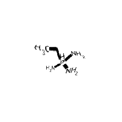 CC[PH](N)(N)N